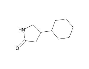 O=C1CC(C2CCCCC2)CN1